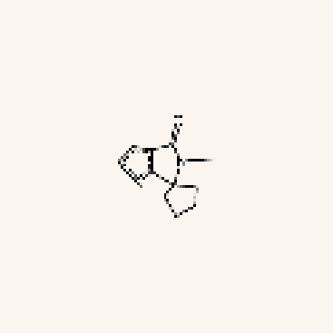 CN1C(=O)c2ccsc2C12CCCC2